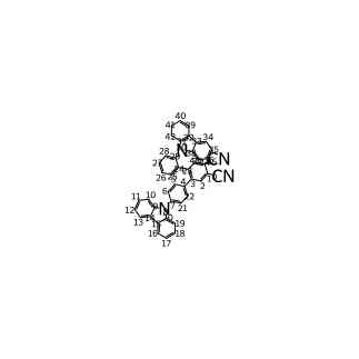 N#Cc1cc(-c2ccc(-n3c4ccccc4c4ccccc43)cc2)c(-c2ccccc2-n2c3c(c4ccccc42)C=CCC3)cc1C#N